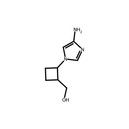 Nc1cn(C2CCC2CO)cn1